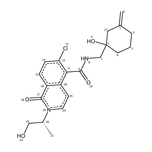 C=C1CCCC(O)(CNC(=O)c2c(Cl)ccc3c(=O)n([C@H](C)CO)ccc23)C1